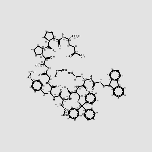 CC[C@H](C)[C@H](NC(=O)[C@H](COC(C)(C)C)NC(=O)[C@H](Cc1ccc(OC(C)(C)C)cc1)NC(=O)[C@@H](NC(=O)[C@H](CSC(c1ccccc1)(c1ccccc1)c1ccccc1)NC(=O)[C@H](COC(C)(C)C)NC(=O)OCC1c2ccccc2-c2ccccc21)[C@@H](C)OC(C)(C)C)C(=O)N1CCC[C@H]1C(=O)N1CCC[C@H]1C(=O)N[C@@H](CCC(N)=O)C(=O)O